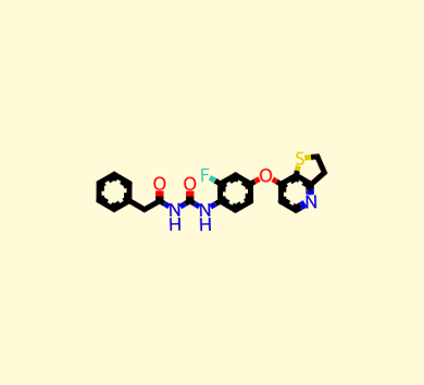 O=C(Cc1ccccc1)NC(=O)Nc1ccc(Oc2ccnc3c2SCC3)cc1F